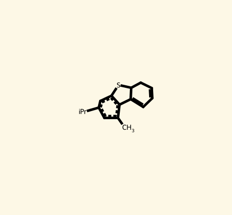 Cc1cc(C(C)C)cc2c1C1=CC=CCC1S2